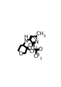 Cn1cc(NC2CCOCC2(C)C)c(OC(=O)C(F)(F)F)n1